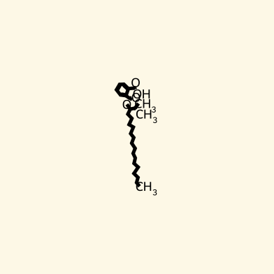 CCCCCCCCCCCCCCCCC(OC(=O)c1ccccc1C(=O)O)C(C)C